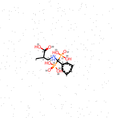 CC(CNC(c1ccccc1)(P(=O)(O)O)P(=O)(O)O)C(=O)O